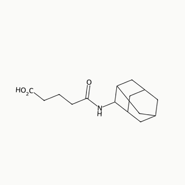 O=C(O)CCCC(=O)NC1C2CC3CC(C2)CC1C3